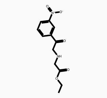 CCOC(=O)CNCC(=O)c1cccc([N+](=O)[O-])c1